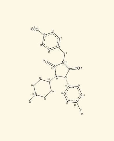 CC(C)COc1ccc(CN2C(=O)[C@H](c3ccc(F)cc3)N(C3CCN(C)CC3)C2=O)cc1